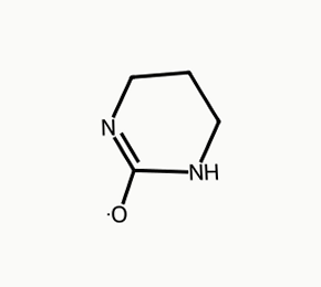 [O]C1=NCCCN1